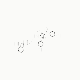 Cc1ccc(C(=O)c2nn(-c3ccc(Cl)cc3)c(NCCCNC(=O)c3c[nH]c4ccccc34)c2C#N)cc1